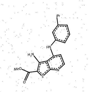 COC(=O)c1sc2nccc(Nc3cccc(C(C)C)c3)c2c1N